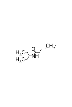 [CH2]CCCC(=O)NC(CC)CC